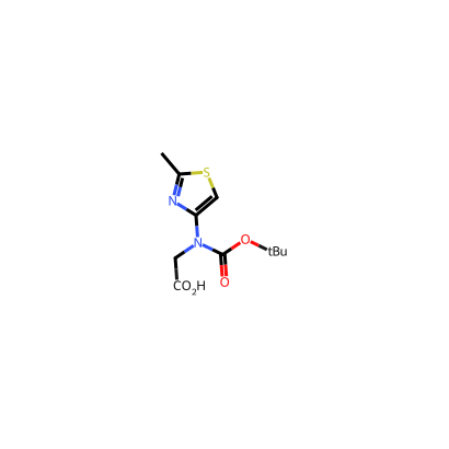 Cc1nc(N(CC(=O)O)C(=O)OC(C)(C)C)cs1